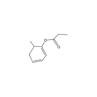 CCC(=O)OC1=CC=CCC1C